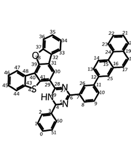 c1ccc(C2N=C(c3cccc(-c4ccc5c(ccc6ccccc65)c4)c3)N=C(c3cc4c5ccccc5oc4c4c3sc3ccccc34)N2)cc1